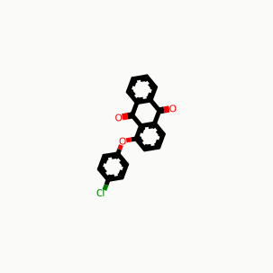 O=C1c2ccccc2C(=O)c2c(Oc3ccc(Cl)cc3)cccc21